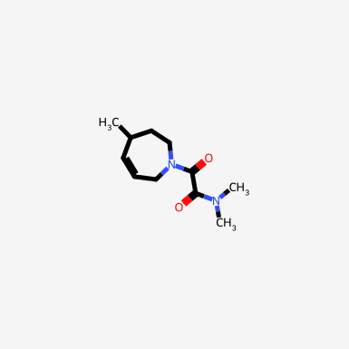 CC1C=CCN(C(=O)C(=O)N(C)C)CC1